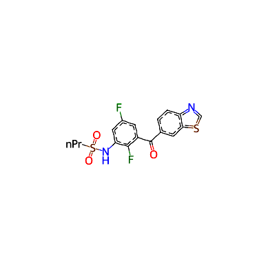 CCCS(=O)(=O)Nc1cc(F)cc(C(=O)c2ccc3ncsc3c2)c1F